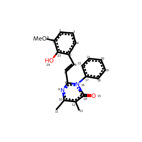 COc1cccc(C=Cc2nc(C)c(C)c(=O)n2-c2ccccc2)c1O